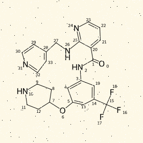 O=C(Nc1cc(OC2CCNCC2)cc(C(F)(F)F)c1)c1cccnc1NCc1ccncc1